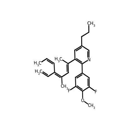 C=CC(/C=C\C)=C(C)/C=C(\C)c1cc(CCC)cnc1-c1cc(F)c(OC)c(F)c1